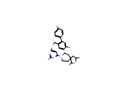 CCC1NC(C(=O)O)CC12CCN(c1cc(O[C@H](c3ccc(Cl)cc3-c3ccc(Cl)cc3)C(F)(F)F)nc(N)n1)CC2